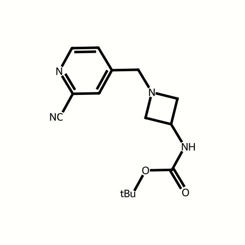 CC(C)(C)OC(=O)NC1CN(Cc2ccnc(C#N)c2)C1